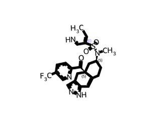 C/C=C(\C=N)S(=O)(=O)N(C)[C@H]1CCC2=Cc3[nH]ncc3C[C@]2(C(=O)c2ccc(C(F)(F)F)cn2)C1